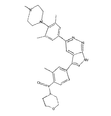 Cc1cc(-c2c[nH]c3nnc(-c4cc(C)c(N5CCN(C)CC5)c(C)c4)cc23)ccc1C(=O)N1CCOCC1